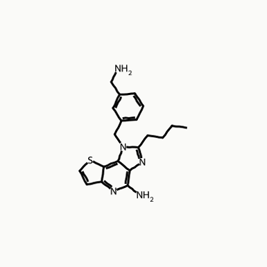 CCCCc1nc2c(N)nc3ccsc3c2n1Cc1cccc(CN)c1